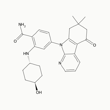 CC1(C)CC(=O)c2c(n(-c3ccc(C(N)=O)c(N[C@H]4CC[C@H](O)CC4)c3)c3ncccc23)C1